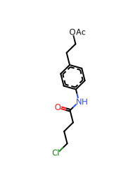 CC(=O)OCCc1ccc(NC(=O)CCCCl)cc1